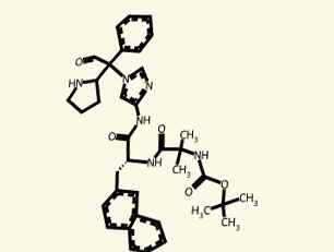 CC(C)(C)OC(=O)NC(C)(C)C(=O)N[C@H](Cc1ccc2ccccc2c1)C(=O)Nc1cn(C(C=O)(c2ccccc2)C2CCCN2)cn1